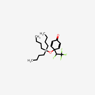 CCCC[Si](CCCC)(CCCC)OC1(C(F)C(F)(F)F)C=CC(=O)C=C1